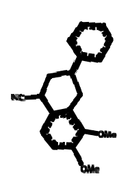 COc1ccc2c(c1OC)CC(c1ccccc1)CC2C#N